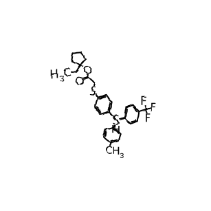 CCC1(OC(=O)CSc2ccc([SH](c3ccc(C)cc3)c3ccc(C(F)(F)F)cc3)cc2)CCCC1